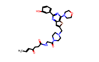 CC=CC(=O)CCC(=O)NCC(=O)N1CCN(Cc2cc3nc(-c4cccc(O)c4)nc(N4CCOCC4)c3s2)CC1